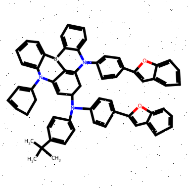 CC(C)(C)c1ccc(N(c2ccc(-c3cc4ccccc4o3)cc2)C2C=C3C4=C(C2)N(c2ccc(-c5cc6ccccc6o5)cc2)c2ccccc2B4c2ccccc2N3C2=CC=CCC2)cc1